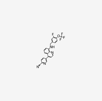 N#Cc1ccc(-c2ccnc3c(NCc4ccc(OC(F)(F)F)c(F)c4)cccc23)cn1